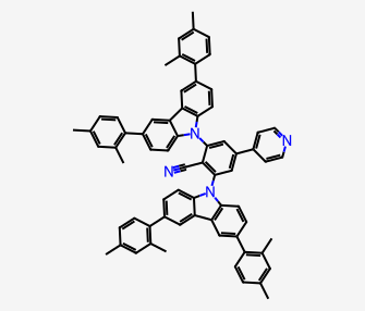 Cc1ccc(-c2ccc3c(c2)c2cc(-c4ccc(C)cc4C)ccc2n3-c2cc(-c3ccncc3)cc(-n3c4ccc(-c5ccc(C)cc5C)cc4c4cc(-c5ccc(C)cc5C)ccc43)c2C#N)c(C)c1